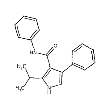 CC(C)c1[nH]cc(-c2ccccc2)c1C(=O)Nc1ccccc1